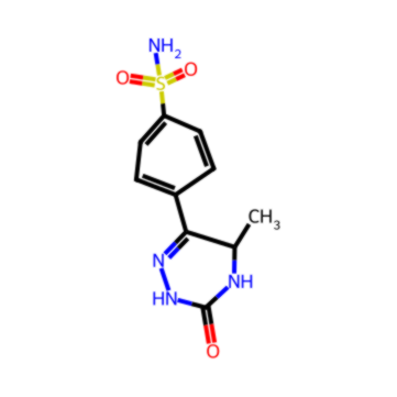 CC1NC(=O)NN=C1c1ccc(S(N)(=O)=O)cc1